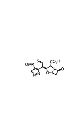 COc1snnc1C(C=S)=C1OC2CC(=O)N2C1C(=O)O